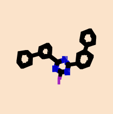 Ic1nc(-c2cccc(-c3ccccc3)c2)nc(-c2cccc(-c3ccccc3)c2)n1